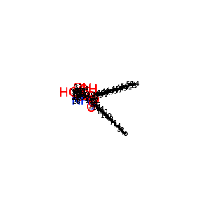 CCCCCCCCCCCCCCCCCC(=O)OCC(CO[C@H]1O[C@H](CN)[C@@H](O)[C@H](O)[C@H]1O)OC(=O)CCCCCCCCCCCCCCCCC